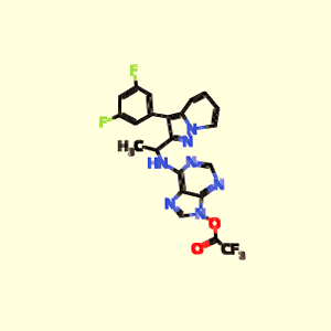 CC(Nc1ncnc2c1ncn2OC(=O)C(F)(F)F)c1nn2ccccc2c1-c1cc(F)cc(F)c1